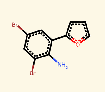 Nc1c(Br)cc(Br)cc1-c1ccco1